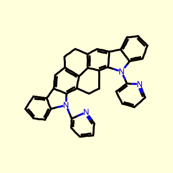 c1ccc(-n2c3ccccc3c3cc4c5c(c32)CCc2c-5c(cc3c5ccccc5n(-c5ccccn5)c23)CC4)nc1